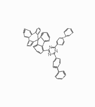 c1ccc(-c2ccc(-c3nc(-c4ccc(-c5ccccc5)cc4)nc(-c4cccc5c4-c4ccccc4C54c5ccccc5-c5ccccc5-c5ccccc54)n3)cc2)cc1